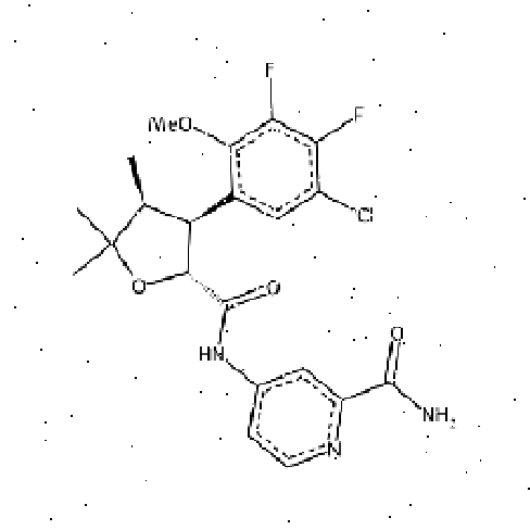 COc1c([C@H]2[C@H](C(=O)Nc3ccnc(C(N)=O)c3)OC(C)(C)[C@H]2C)cc(Cl)c(F)c1F